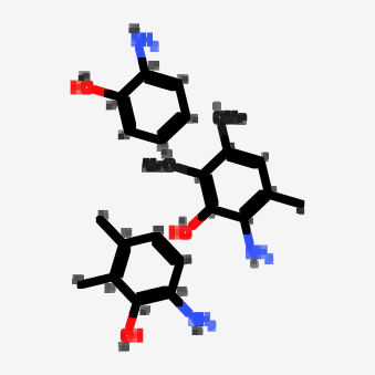 COc1cc(C)c(N)c(O)c1OC.Cc1ccc(N)c(O)c1C.Nc1ccccc1O